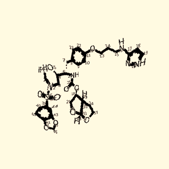 CC(C)CN(C[C@@H](O)[C@H](Cc1ccc(OCCCNc2cc[nH]n2)cc1)NC(=O)O[C@@H]1CO[C@H]2OCC[C@H]21)S(=O)(=O)c1ccc2c(c1)OCO2